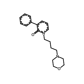 O=c1c(-c2ccccc2)cccn1CCCCN1CCOCC1